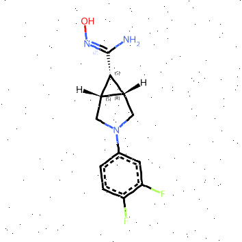 N/C(=N\O)[C@@H]1[C@@H]2CN(c3ccc(F)c(F)c3)C[C@@H]21